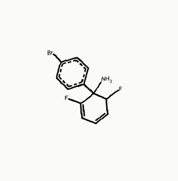 NC1(c2ccc(Br)cc2)C(F)=CC=CC1F